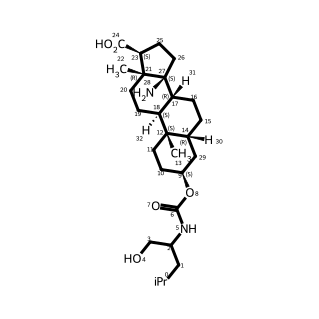 CC(C)CC(CO)NC(=O)O[C@H]1CC[C@@]2(C)[C@H](CC[C@@H]3[C@@H]2CC[C@]2(C)[C@@H](C(=O)O)CC[C@]32N)C1